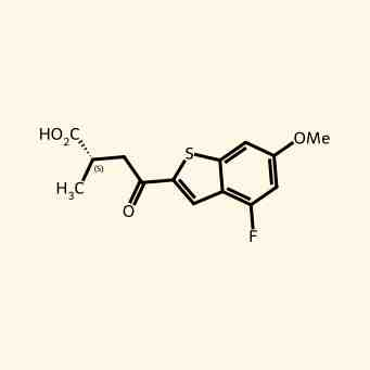 COc1cc(F)c2cc(C(=O)C[C@H](C)C(=O)O)sc2c1